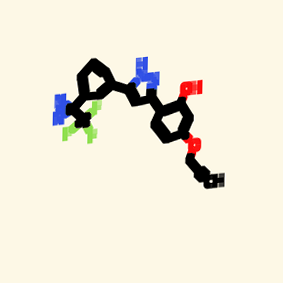 C#CCOc1ccc(-c2cc(-c3cccc(C4(C(F)(F)F)N=N4)c3)[nH]n2)c(O)c1